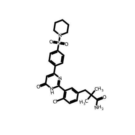 CC(C)(Cc1ccc(Cl)c(-c2nc(-c3ccc(S(=O)(=O)N4CCCCC4)cc3)cc(=O)[nH]2)c1)C(N)=O